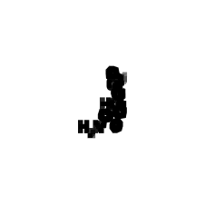 C[C@H](CC(=O)N1CCC(O)(CN2C=C(c3cccc(CN)c3)C(c3ccccc3)=CC2)CC1)c1ccccc1